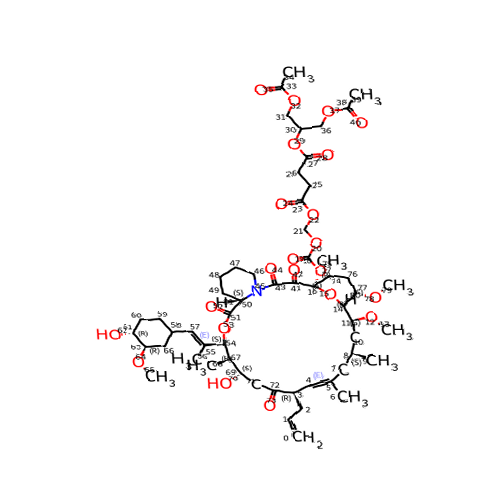 C=CC[C@@H]1/C=C(\C)C[C@H](C)C[C@H](OC)[C@H]2O[C@@](OC(=O)OCOC(=O)CCC(=O)OC(COC(C)=O)COC(C)=O)(C(=O)C(=O)N3CCCC[C@H]3C(=O)O[C@H](/C(C)=C/C3CC[C@@H](O)[C@H](OC)C3)[C@H](C)[C@@H](O)CC1=O)[C@H](C)C[C@@H]2OC